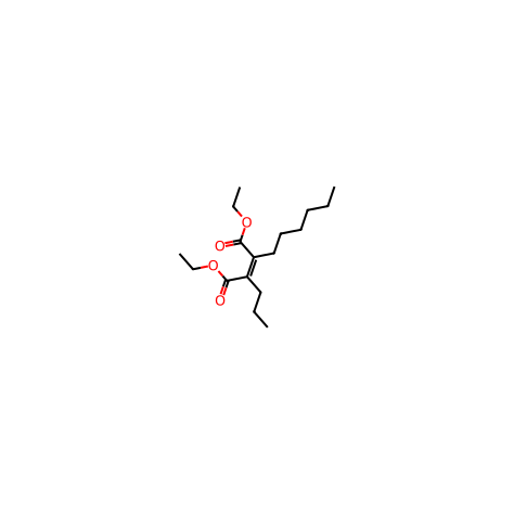 CCCCCC/C(C(=O)OCC)=C(\CCC)C(=O)OCC